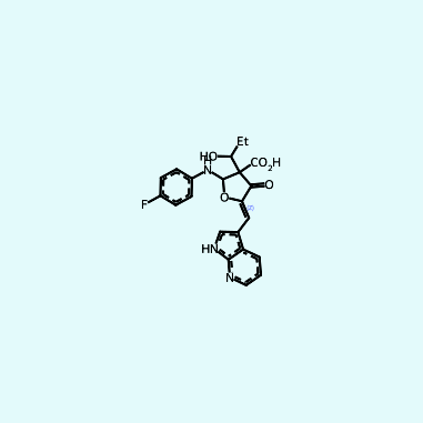 CCC(O)C1(C(=O)O)C(=O)/C(=C/c2c[nH]c3ncccc23)OC1Nc1ccc(F)cc1